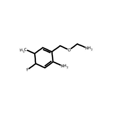 CC1C=C(COCN)C(N)=CC1F